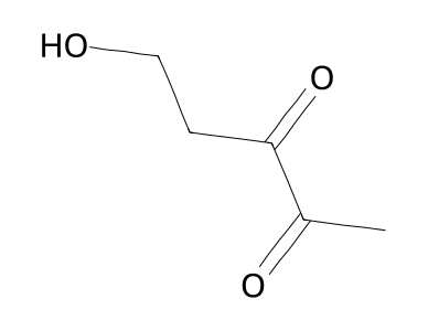 CC(=O)C(=O)CCO